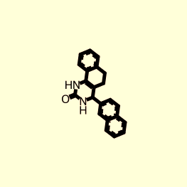 O=C1NC2=C(CCc3ccccc32)C(c2ccc3ccccc3c2)N1